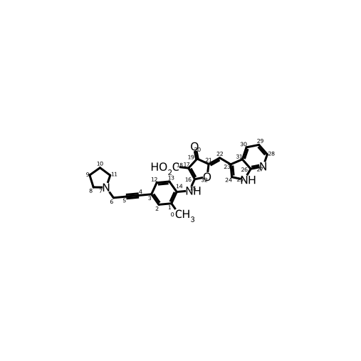 Cc1cc(C#CCN2CCCC2)ccc1NC1=C(C(=O)O)C(=O)C(=Cc2c[nH]c3ncccc23)O1